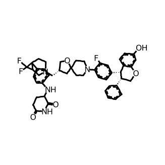 O=C1CCC(Nc2ccc(C34CCN(C[C@@H]5COC6(CCN(c7ccc([C@@H]8c9ccc(O)cc9OC[C@@H]8c8ccccc8)cc7F)CC6)C5)CC3C4(F)F)cc2)C(=O)N1